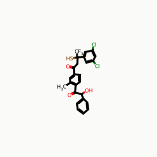 Cc1cc(C(=O)CC(S)(c2cc(Cl)cc(Cl)c2)C(F)(F)F)ccc1C(=O)C(O)c1ccccc1